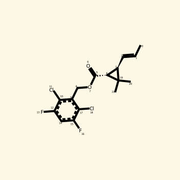 CC=C[C@@H]1[C@@H](C(=O)OCc2c(Cl)c(F)cc(F)c2Cl)C1(C)C